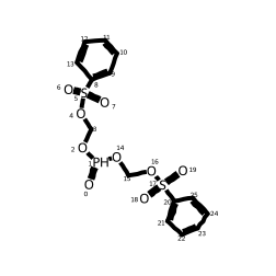 O=[PH](OCOS(=O)(=O)c1ccccc1)OCOS(=O)(=O)c1ccccc1